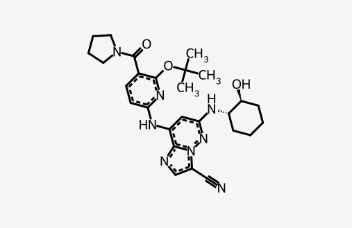 CC(C)(C)Oc1nc(Nc2cc(N[C@H]3CCCC[C@@H]3O)nn3c(C#N)cnc23)ccc1C(=O)N1CCCC1